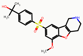 COc1cc(S(=O)(=O)c2ccc(C(C)(C)O)cc2)cc2c3c(oc12)CCNC3